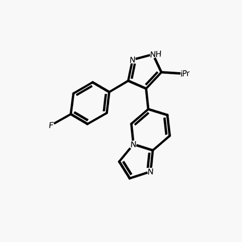 CC(C)c1[nH]nc(-c2ccc(F)cc2)c1-c1ccc2nccn2c1